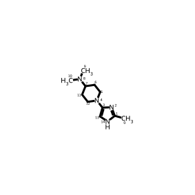 Cc1nc(N2CCC(N(C)C)CC2)c[nH]1